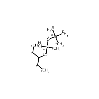 CCC(CC)O[Si](C)(C)O[Si](C)(C)C